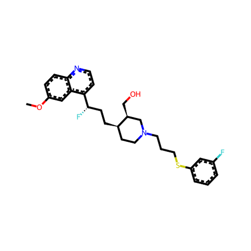 COc1ccc2nccc([C@@H](F)CC[C@@H]3CCN(CCCSc4cccc(F)c4)C[C@@H]3CO)c2c1